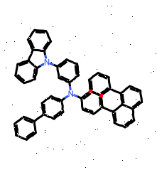 c1ccc(-c2ccc(N(c3ccc(-c4cccc5cccc(-c6ccccc6)c45)cc3)c3cccc(-n4c5ccccc5c5ccccc54)c3)cc2)cc1